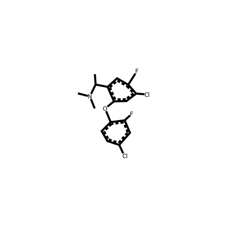 CC(c1cc(F)c(Cl)cc1Oc1ccc(Cl)cc1F)N(C)C